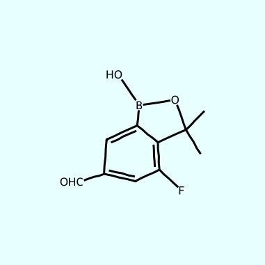 CC1(C)OB(O)c2cc(C=O)cc(F)c21